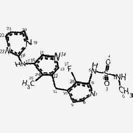 CNS(=O)(=O)Nc1nccc(Cc2cncc(Nc3ncccn3)c2C)c1F